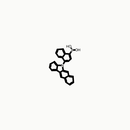 OB(O)c1ccc(-n2c3ccccc3c3cc4ccccc4cc32)c2ccccc12